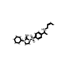 C/C=C\CNC(C)c1ccc(S(=O)(=O)N2CCN(C3CCCCC3)C2=N)cc1